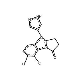 O=C1CCc2c(-c3cn[nH]c3)c3ccc(Cl)c(Cl)c3n21